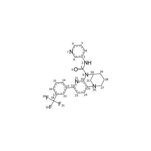 O=C(Nc1cccnc1)N1c2nc(-c3cccc(C(F)(F)F)c3)ccc2N2CCCC1C2